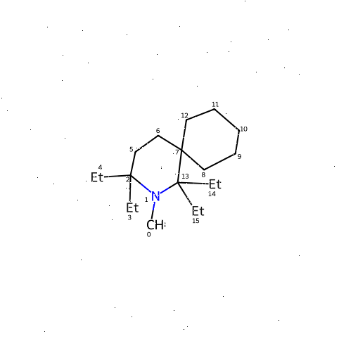 [CH]N1C(CC)(CC)CCC2(CCCCC2)C1(CC)CC